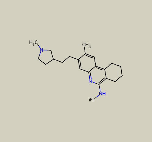 Cc1cc2c3c(c(NC(C)C)nc2cc1CCC1CCN(C)C1)CCCC3